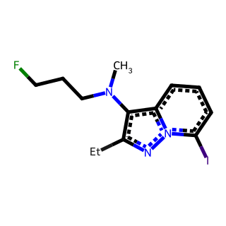 CCc1nn2c(I)cccc2c1N(C)CCCF